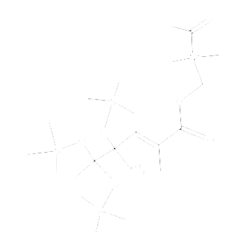 CC(=O)[N+](C)(C)COC(=O)C(C)=CC([SiH3])(O[Si](C)(C)C)C(C)(O[Si](C)(C)C)O[Si](C)(C)C